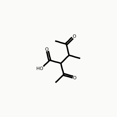 CC(=O)C(C)C(C(C)=O)C(=O)O